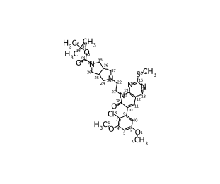 COc1cc(OC)c(Cl)c(-c2cc3cnc(SC)nc3n(CCN3CC4CN(C(=O)OC(C)(C)C)CC4C3)c2=O)c1